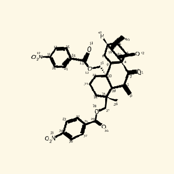 C=C1C(=O)[C@@]23CC[C@@H](CC2[C@]2(COC(=O)c4ccc([N+](=O)[O-])cc4)CCC[C@@](C)(COC(=O)c4ccc([N+](=O)[O-])cc4)C12)C(=C)C3=O